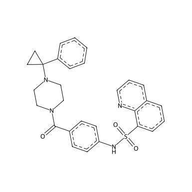 O=C(c1ccc(NS(=O)(=O)c2cccc3cccnc23)cc1)N1CCN(C2(c3ccccc3)CC2)CC1